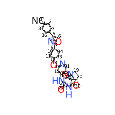 N#Cc1ccc(-c2coc(-c3ccc(Oc4ccc(N5CCCC56C(=O)NC(=O)NC6=O)cn4)cc3)n2)cc1